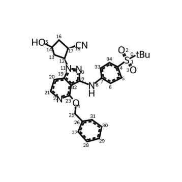 CC(C)(C)S(=O)(=O)c1ccc(Nc2nn([C@H]3CC(O)C[C@H]3C#N)c3ccnc(OCc4ccccc4)c23)cc1